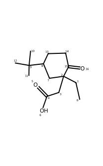 CCC1(CC(=O)O)CC(C(C)(C)C)CCC1=O